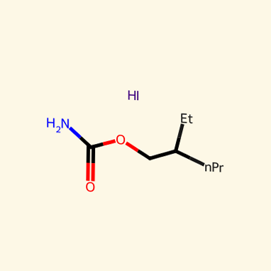 CCCC(CC)COC(N)=O.I